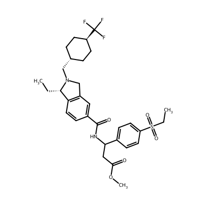 CC[C@H]1c2ccc(C(=O)NC(CC(=O)OC)c3ccc(S(=O)(=O)CC)cc3)cc2CN1C[C@H]1CC[C@H](C(F)(F)F)CC1